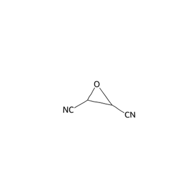 N#CC1OC1C#N